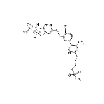 C=C(O)[C@H]1[C@@H]2Cc3cc(OCc4cc(-c5cnc(OCCCS(C)(=O)=O)cc5C(F)(F)F)ccc4F)ncc3[C@@H]21